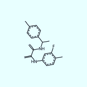 C=C(Nc1ccc(C)c(F)c1)C(=C)NC(C)c1ccc(C)cc1